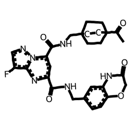 CC(=O)C12CCC(CNC(=O)c3cc(C(=O)NCc4ccc5c(c4)NC(=O)CO5)nc4c(F)cnn34)(CC1)CC2